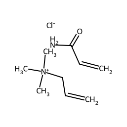 C=CC(N)=O.C=CC[N+](C)(C)C.[Cl-]